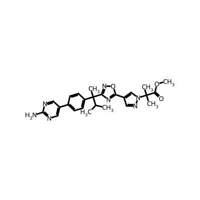 COC(=O)C(C)(C)n1cc(-c2nc(C(C)(c3ccc(-c4cnc(N)nc4)cc3)C(C)C)no2)cn1